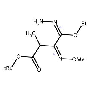 CCOC(=N/N)/C(=N\OC)C(C)C(=O)OC(C)(C)C